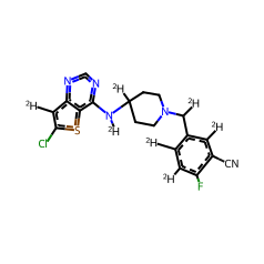 [2H]c1c([2H])c(C([2H])N2CCC([2H])(N([2H])c3ncnc4c([2H])c(Cl)sc34)CC2)c([2H])c(C#N)c1F